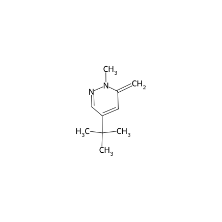 C=C1C=C(C(C)(C)C)C=NN1C